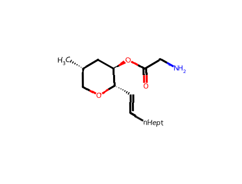 CCCCCCC/C=C/[C@@H]1OC[C@H](C)C[C@H]1OC(=O)CN